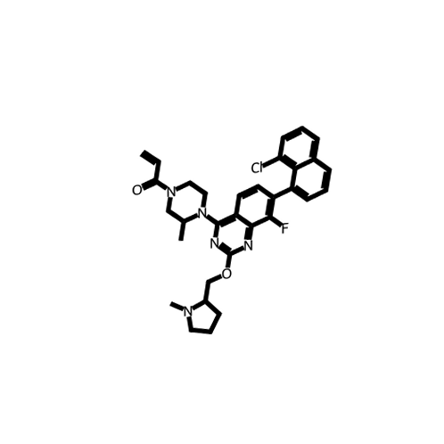 C=CC(=O)N1CCN(c2nc(OCC3CCCN3C)nc3c(F)c(-c4cccc5cccc(Cl)c45)ccc23)C(C)C1